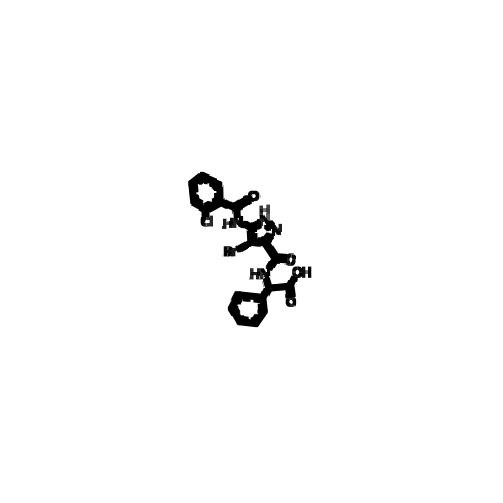 O=C(Nc1[nH]nc(C(=O)NC(C(=O)O)c2ccccc2)c1Br)c1ccccc1Cl